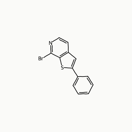 Brc1nccc2cc(-c3ccccc3)sc12